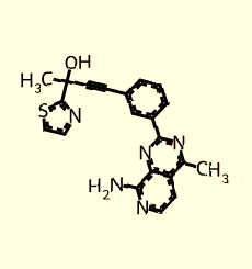 Cc1nc(-c2cccc(C#CC(C)(O)c3nccs3)c2)nc2c(N)nccc12